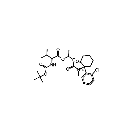 CC(OC(=O)C(NC(=O)OC(C)(C)C)C(C)C)OC(=O)N(C)[C@]1(c2ccccc2Cl)CCCCC1=O